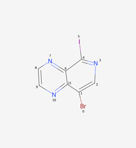 Brc1cnc(I)c2nccnc12